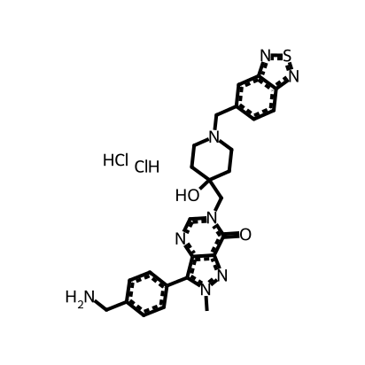 Cl.Cl.Cn1nc2c(=O)n(CC3(O)CCN(Cc4ccc5nsnc5c4)CC3)cnc2c1-c1ccc(CN)cc1